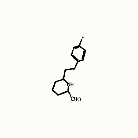 O=CC1CCCC(CCc2ccc(F)cc2)N1